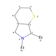 CCC1C2SCCCC2CN1CC